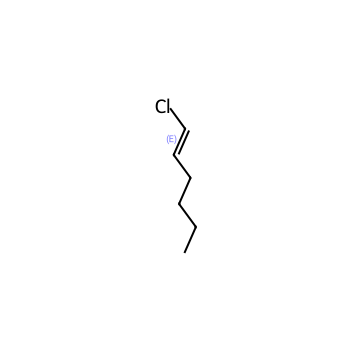 CCCC/C=C/Cl